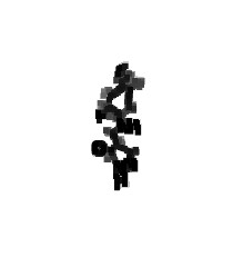 O=C1NN=CC1=CNc1ccc(F)cc1F